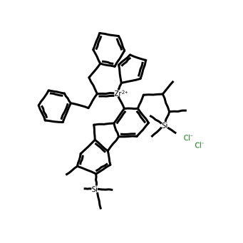 Cc1cc2c(cc1[Si](C)(C)C)-c1ccc(CC(C)C(C)[Si](C)(C)C)[c]([Zr+2](=[C](Cc3ccccc3)Cc3ccccc3)[CH]3C=CC=C3)c1C2.[Cl-].[Cl-]